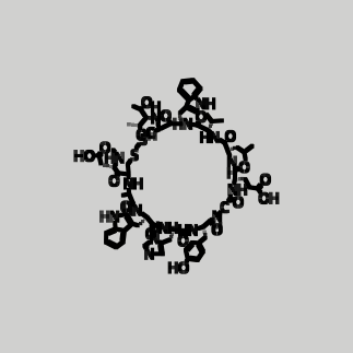 CN[C@@H](CC(=O)O)C(=O)C1CSCSCC(N[C@H](C(C)=O)[C@@H](C)O)C(=O)[C@H](Cc2c[nH]c3ccccc23)NC(=O)[C@H](C(C)C)NC(=O)[C@H](CC(C)C)NC(=O)[C@H](CCC(=O)O)NC(=O)CNC(=O)[C@H](Cc2ccc(O)cc2)NC(=O)[C@H](Cc2cnc[nH]2)NC(=O)[C@H](Cc2c[nH]c3ccccc23)NC(=O)C(C)N1